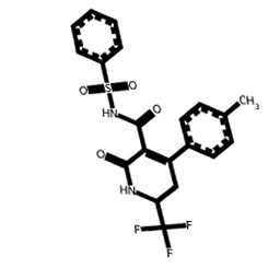 Cc1ccc(C2=C(C(=O)NS(=O)(=O)c3ccccc3)C(=O)NC(C(F)(F)F)C2)cc1